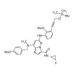 COc1ccc(CN(C)c2cc(Nc3cccc(C#CCO[Si](C)(C)C(C)(C)C)c3OC)nn3c(C(=O)N[C@@H]4C[C@@H]4F)cnc23)cc1